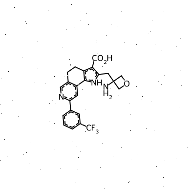 NC1(Cc2[nH]c3c(c2C(=O)O)CCc2cnc(-c4cccc(C(F)(F)F)c4)cc2-3)COC1